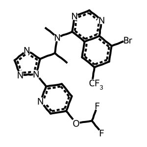 CC(c1ncnn1-c1ccc(OC(F)F)cn1)N(C)c1ncnc2c(Br)cc(C(F)(F)F)cc12